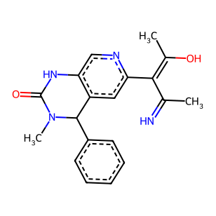 CC(=N)/C(=C(/C)O)c1cc2c(cn1)NC(=O)N(C)C2c1ccccc1